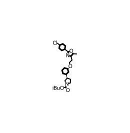 Cc1oc(-c2ccc(Cl)cc2)nc1CCOc1cccc([C@H]2CCN(C(=O)OCC(C)C)C2)c1